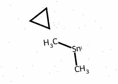 C1CC1.[CH3][Sn][CH3]